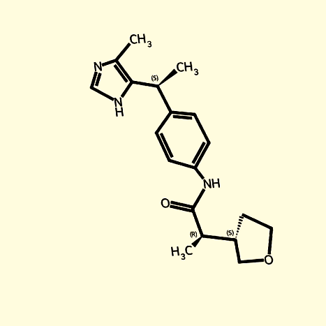 Cc1nc[nH]c1[C@@H](C)c1ccc(NC(=O)[C@H](C)[C@@H]2CCOC2)cc1